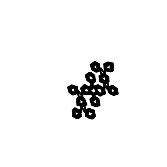 c1ccc(-c2c3ccc(N(c4ccccc4)c4ccc(N(c5ccccc5)c5ccccc5)cc4)cc3c(-c3ccccc3)c3ccc(N(c4ccccc4)c4ccc(N(c5ccccc5)c5ccccc5)cc4)cc23)cc1